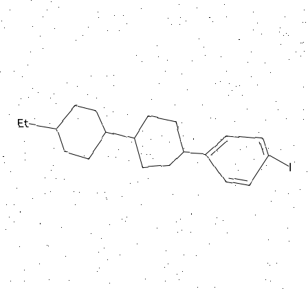 CCC1CCC(C2CCC(c3ccc(I)cc3)CC2)CC1